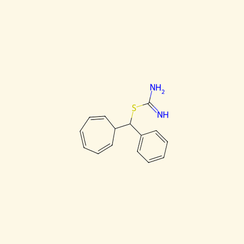 N=C(N)SC(c1ccccc1)C1C=CC=CC=C1